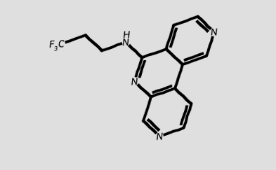 FC(F)(F)CCNc1nc2cnccc2c2cnccc12